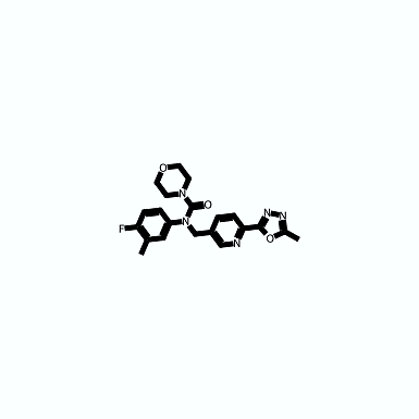 Cc1nnc(-c2ccc(CN(C(=O)N3CCOCC3)c3ccc(F)c(C)c3)cn2)o1